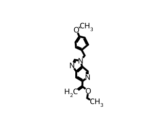 C=C(OCC)c1cc2ncn(Cc3ccc(OC)cc3)c2cn1